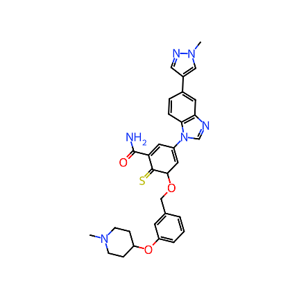 CN1CCC(Oc2cccc(COC3C=C(n4cnc5cc(-c6cnn(C)c6)ccc54)C=C(C(N)=O)C3=S)c2)CC1